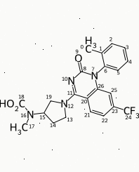 Cc1ccccc1-n1c(=O)nc(N2CCC(N(C)C(=O)O)C2)c2ccc(C(F)(F)F)cc21